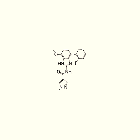 COc1ccc(C2=C(F)C=CCC2)c2nc(NC(=O)c3cnn(C)c3)[nH]c12